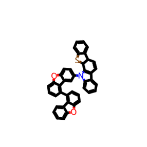 C1=CC2c3ccccc3SC2c2c1c1ccccc1n2-c1ccc2oc3cccc(-c4cccc5oc6ccccc6c45)c3c2c1